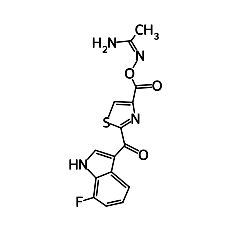 C/C(N)=N/OC(=O)c1csc(C(=O)c2c[nH]c3c(F)cccc23)n1